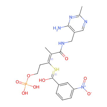 C/C(C(=O)NCc1cnc(C)nc1N)=C(CCOP(=O)(O)O)/[SH]=C(\O)c1cccc([N+](=O)[O-])c1